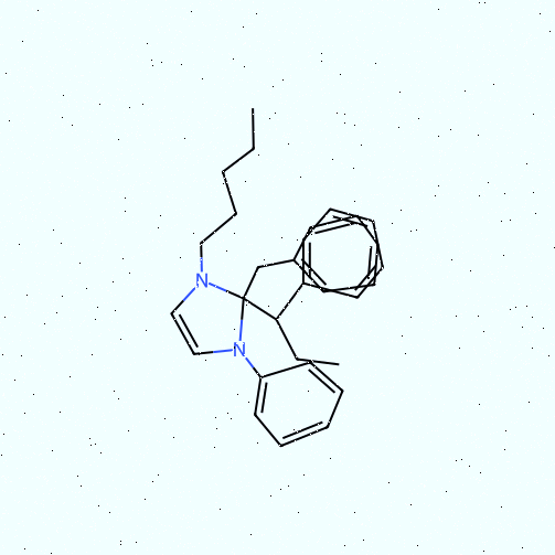 CCCCCN1C=CN(c2ccccc2)C1(Cc1ccccc1)C(CC)c1ccccc1